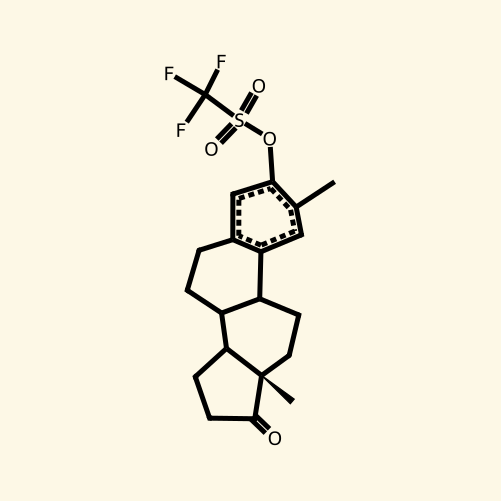 Cc1cc2c(cc1OS(=O)(=O)C(F)(F)F)CCC1C2CC[C@]2(C)C(=O)CCC12